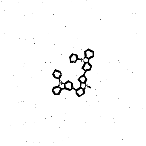 Cn1c2cc(-c3ccc4c5ccccc5n(-c5ccccc5)c4c3)ccc2c2c(-c3ccc4c(c3)c3ccccc3n4-c3ccccc3)cccc21